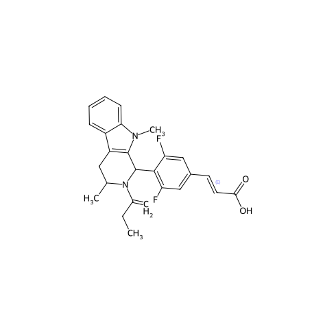 C=C(CC)N1C(C)Cc2c(n(C)c3ccccc23)C1c1c(F)cc(/C=C/C(=O)O)cc1F